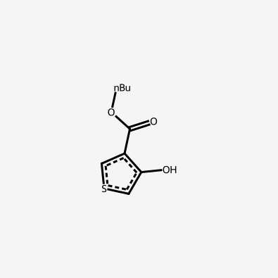 CCCCOC(=O)c1cscc1O